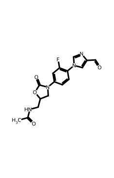 CC(=O)NCC1CN(c2ccc(-n3cnc(C=O)c3)c(F)c2)C(=O)O1